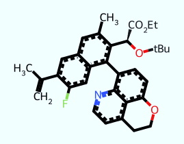 C=C(C)c1cc2cc(C)c([C@H](OC(C)(C)C)C(=O)OCC)c(-c3ccc4c5c(ccnc35)CCO4)c2cc1F